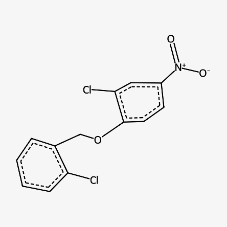 O=[N+]([O-])c1ccc(OCc2ccccc2Cl)c(Cl)c1